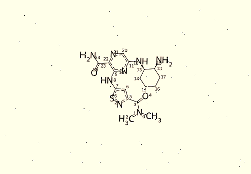 CN(C)C(=O)c1cc(Nc2nc(N[C@@H]3CCCC[C@@H]3N)cnc2C(N)=O)sn1